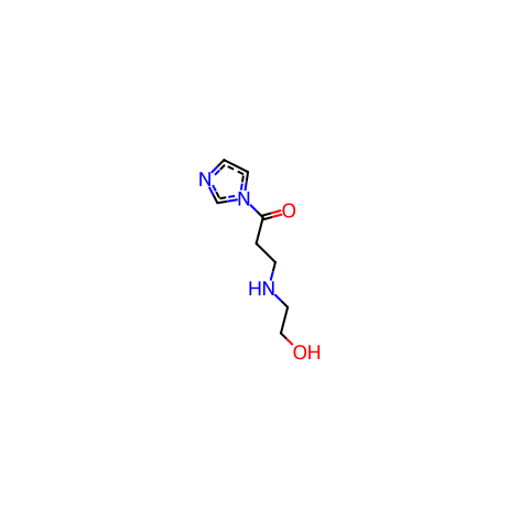 O=C(CCNCCO)n1ccnc1